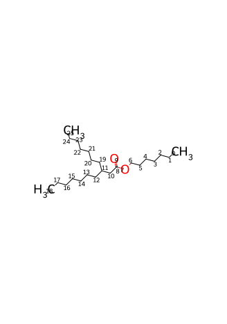 CCCCCCCOC(=O)CC(CCCCCCC)CCCCCCC